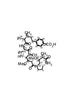 CCC[C@@H]([C@@H](CC(=O)N1CCC[C@H]1[C@H](OC)[C@@H](C)C(N)=O)OC)N(C)C(=O)[C@@H](NC(=O)C(C(C)C)N(C)CCc1ccc(C(=O)O)cc1)C(C)C